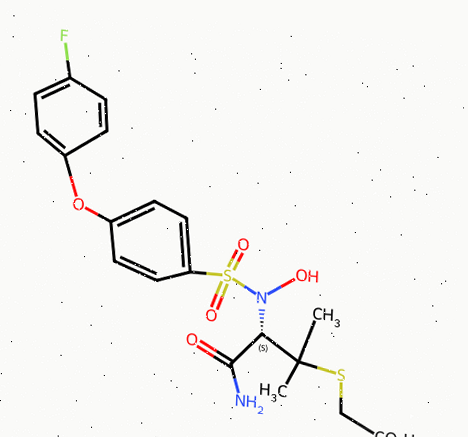 CC(C)(SCC(=O)O)[C@H](C(N)=O)N(O)S(=O)(=O)c1ccc(Oc2ccc(F)cc2)cc1